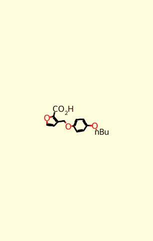 CCCCOc1ccc(OCc2ccoc2C(=O)O)cc1